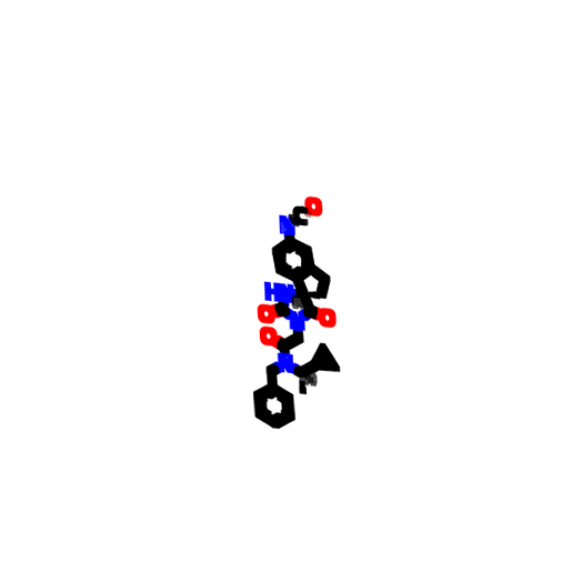 C[C@@H](C1CC1)N(Cc1ccccc1)C(=O)CN1C(=O)N[C@]2(CCc3cc(N=C=O)ccc32)C1=O